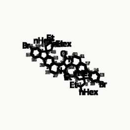 CCCCCCC(CC)CC1(CC(CC)CCCCCC)c2cc(Br)ccc2-c2cc3c(cc21)C1=C2C(=O)N4C=Cc5cc6c(cc5C4=C2C(=O)N1C=C3)C(CC(CC)CCCCCC)(CC(CC)CCCCCC)c1cc(Br)ccc1-6